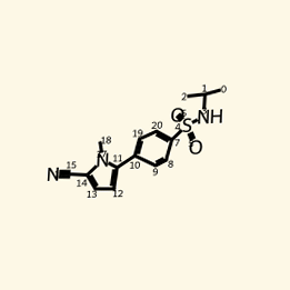 CC(C)NS(=O)(=O)c1ccc(-c2ccc(C#N)n2C)cc1